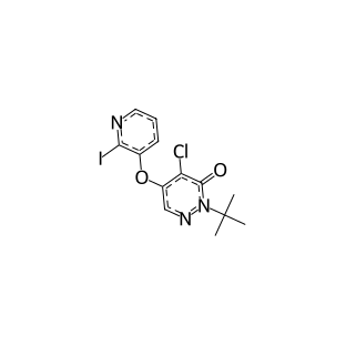 CC(C)(C)n1ncc(Oc2cccnc2I)c(Cl)c1=O